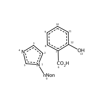 CCCCCCCCCn1ccnc1.O=C(O)c1ccccc1O